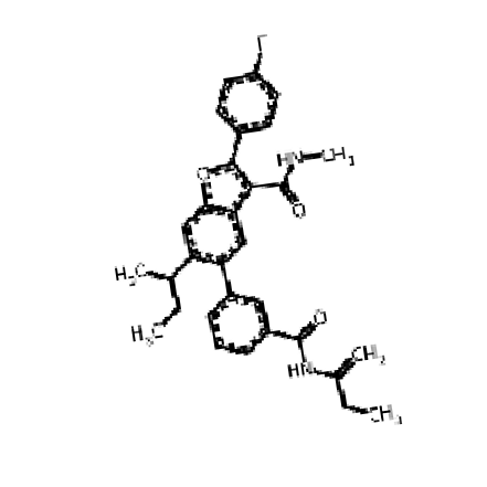 C=C(CC)NC(=O)c1cccc(-c2cc3c(C(=O)NC)c(-c4ccc(F)cc4)oc3cc2C(C)CC)c1